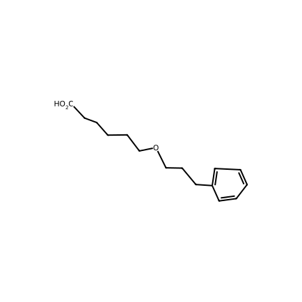 O=C(O)CCCCCOCCCc1ccccc1